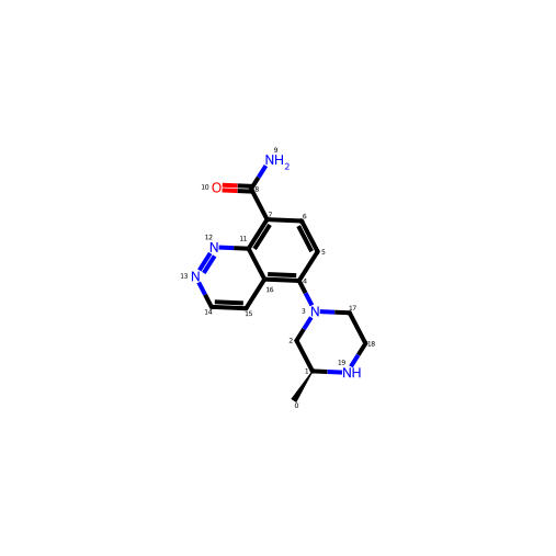 C[C@H]1CN(c2ccc(C(N)=O)c3nnccc23)CCN1